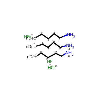 Br.CCCCCCCCCCCCCCN.CCCCCCCCCCCCCCN.CCCCCCCCCCCCCCN.Cl.F